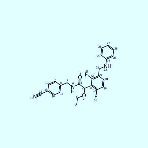 CCOC(C(=O)NCc1ccc(C#N)cc1)c1c(F)ccc(CNc2ccccc2)c1F